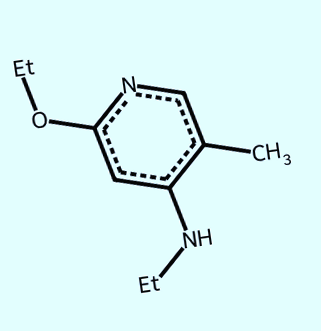 CCNc1cc(OCC)ncc1C